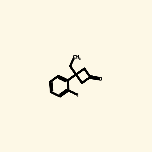 CCC1(c2ccccc2I)CC(=O)C1